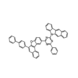 c1ccc(-c2ccc(-c3cc4ccccc4c4c3oc3ccc(-c5nc(-c6ccccc6)nc(-n6c7ccccc7c7cc8ccccc8cc76)n5)cc34)cc2)cc1